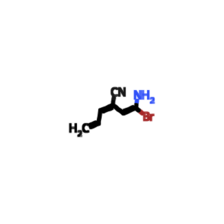 C=C/C=C(C#N)\C=C(/N)Br